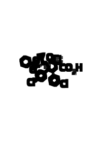 CC[C@@]1(CC(=O)O)C[C@H](c2cccc(Cl)c2)[C@@H](c2ccc(Cl)cc2)N([C@H](CS(=O)(=O)C2CCCCC2)C2CC2)C1=O